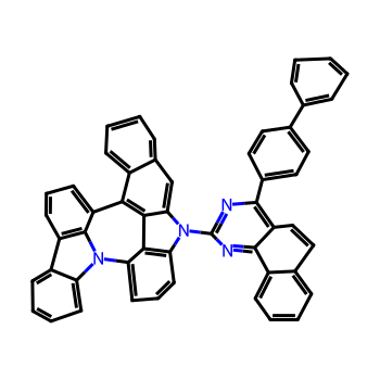 c1ccc(-c2ccc(-c3nc(-n4c5cc6ccccc6c6c7cccc8c9ccccc9n(c9cccc4c9c65)c87)nc4c3ccc3ccccc34)cc2)cc1